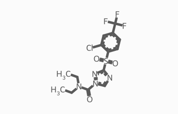 CCN(CC)C(=O)n1cnc(S(=O)(=O)c2ccc(C(F)(F)F)cc2Cl)n1